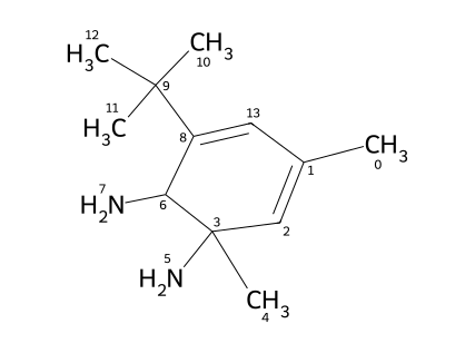 CC1=CC(C)(N)C(N)C(C(C)(C)C)=C1